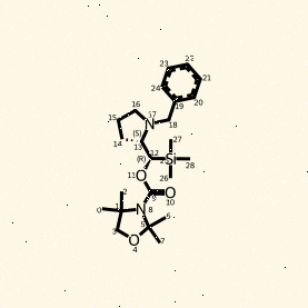 CC1(C)COC(C)(C)N1C(=O)O[C@@H]([C@@H]1CCCN1Cc1ccccc1)[Si](C)(C)C